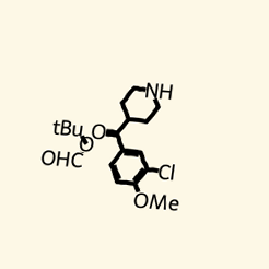 CC(C)(C)OC=O.COc1ccc(C(=O)C2CCNCC2)cc1Cl